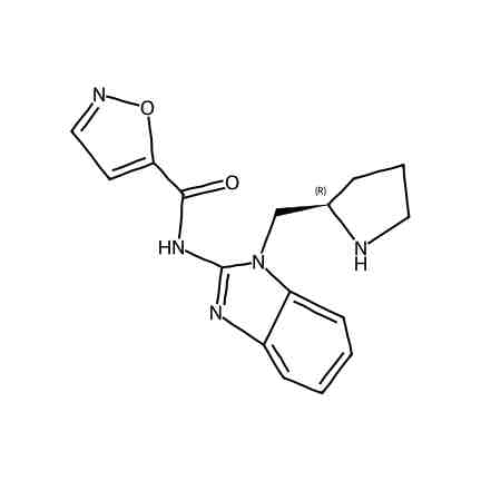 O=C(Nc1nc2ccccc2n1C[C@H]1CCCN1)c1ccno1